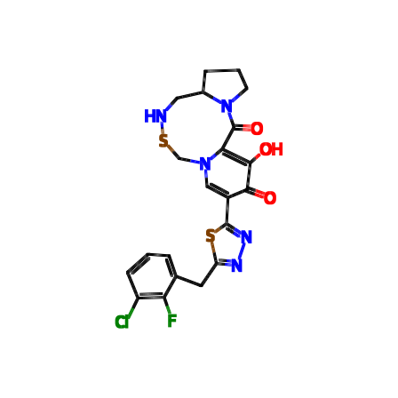 O=C1c2c(O)c(=O)c(-c3nnc(Cc4cccc(Cl)c4F)s3)cn2CSNCC2CCCN12